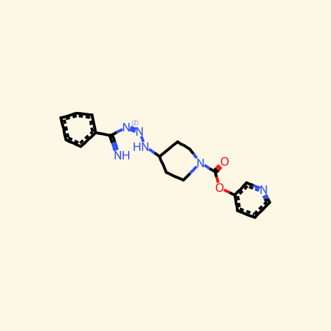 N=C(/N=N\NC1CCN(C(=O)Oc2cccnc2)CC1)c1ccccc1